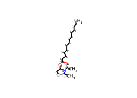 CCCCCCCCCCCCCC(=O)OC(CC)N(CC)CC